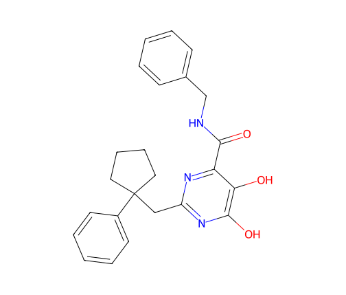 O=C(NCc1ccccc1)c1nc(CC2(c3ccccc3)CCCC2)nc(O)c1O